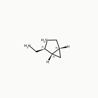 NC[C@H]1[SiH2]C[C@@H]2C[C@@H]21